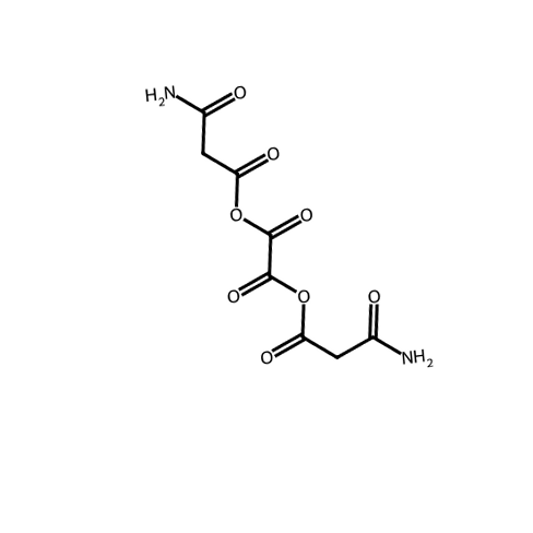 NC(=O)CC(=O)OC(=O)C(=O)OC(=O)CC(N)=O